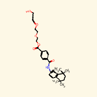 CC1(C)CCC(C)(C)c2cc(NC(=O)c3ccc(C(=O)OCCOCCOCCO)cc3)ccc21